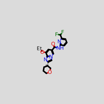 CCOc1cc(C(=O)Nc2cccc(C(F)F)n2)cn2cc([C@H]3CCCOC3)nc12